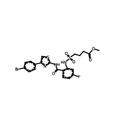 COC(=O)CCCS(=O)(=O)Nc1cc(F)ccc1C(=O)Nc1nc(-c2ccc(Br)cc2)cs1